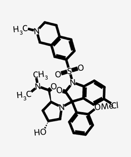 COc1ccccc1C1(N2C[C@H](O)C[C@H]2C(=O)N(C)C)C(=O)N(S(=O)(=O)c2ccc3c(c2)CN(C)CC3)c2ccc(Cl)cc21